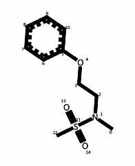 CN(CCOc1cc[c]cc1)S(C)(=O)=O